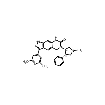 Cc1cc(-c2n[nH]c3cc4c(cc23)CN([C@H]2CN(C)C[C@@H]2c2ccccc2)C(=O)N4)cc(C)n1